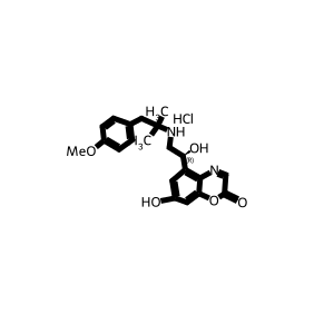 COc1ccc(CC(C)(C)NC[C@H](O)c2cc(O)cc3oc(=O)cnc23)cc1.Cl